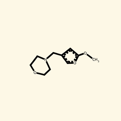 COc1cc(CN2CCOCC2)co1